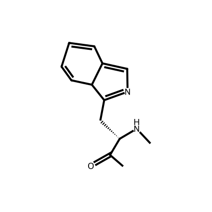 CN[C@@H](CC1=NC=C2C=CC=CC21)C(C)=O